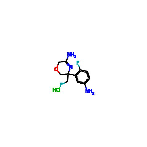 Cl.NC1=NC(CF)(c2cc(N)ccc2F)COC1